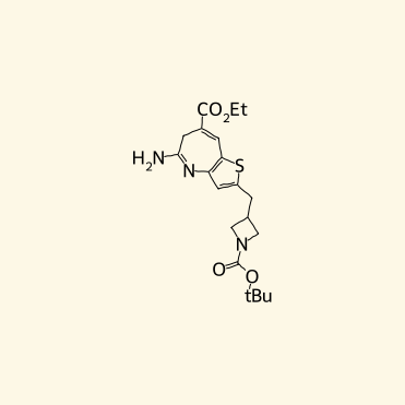 CCOC(=O)C1=Cc2sc(CC3CN(C(=O)OC(C)(C)C)C3)cc2N=C(N)C1